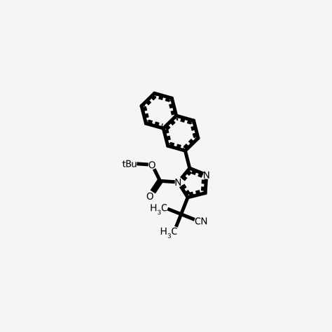 CC(C)(C)OC(=O)n1c(C(C)(C)C#N)cnc1-c1ccc2ccccc2c1